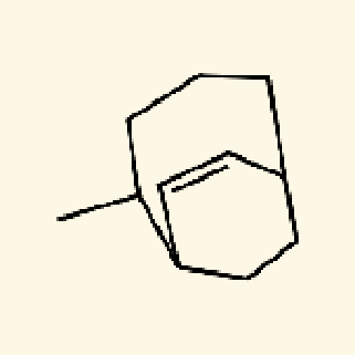 CC1CCCC2C=CC1CC2